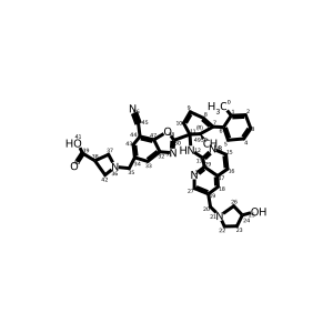 Cc1ccccc1C1=CC=CC(Nc2nccc3cc(CN4CCC(O)C4)cnc23)(c2nc3cc(CN4CC(C(=O)O)C4)cc(C#N)c3o2)[C@@H]1C